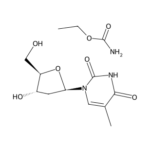 CCOC(N)=O.Cc1cn([C@H]2C[C@H](O)[C@@H](CO)O2)c(=O)[nH]c1=O